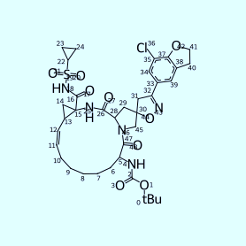 CC(C)(C)OC(=O)NC1CCCCC/C=C\C2CC2(C(=O)NS(=O)(=O)C2CC2)NC(=O)C2CC3(CC(c4cc(Cl)c5c(c4)CCO5)=NO3)CN2C1=O